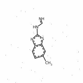 Cc1ccc2nc(NC=N)sc2c1